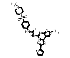 CN1CCN(S(=O)(=O)c2ccc(NC(=O)Nc3nc4nn(C)cc4c4nc(-c5ccco5)nn34)cc2)CC1